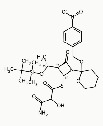 C[C@@H](O[Si](C)(C)C(C)(C)C)[C@H]1C(=O)N(C2(OCc3ccc([N+](=O)[O-])cc3)CCCCO2)[C@@H]1SC(=O)C(O)C(N)=O